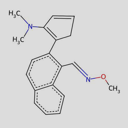 CON=Cc1c(C2=C(N(C)C)C=CC2)ccc2ccccc12